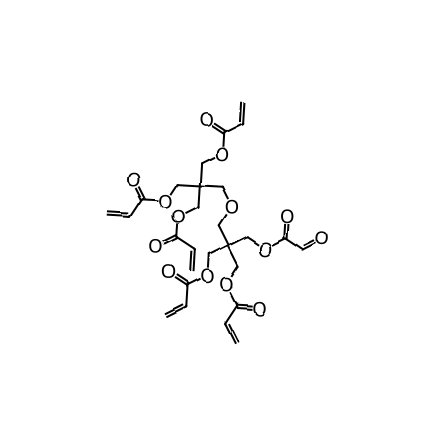 C=CC(=O)OCC(COCC(COC(=O)C=C)(COC(=O)C=C)COC(=O)C=O)(COC(=O)C=C)COC(=O)C=C